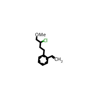 C=Cc1ccccc1CCC(Cl)COC